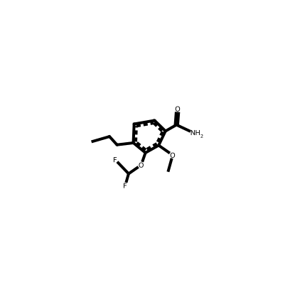 CCCc1ccc(C(N)=O)c(OC)c1OC(F)F